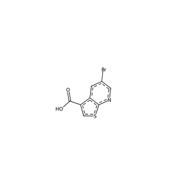 O=C(O)c1csc2ncc(Br)cc12